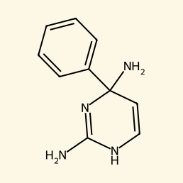 NC1=NC(N)(c2ccccc2)C=CN1